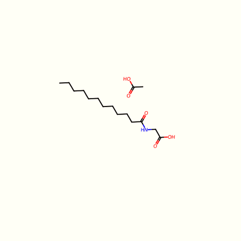 CC(=O)O.CCCCCCCCCCCC(=O)NCC(=O)O